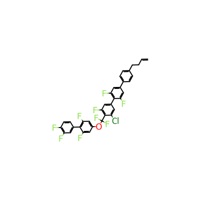 C=CCCc1ccc(-c2cc(F)c(-c3cc(F)c(C(F)(F)Oc4cc(F)c(-c5ccc(F)c(F)c5)c(F)c4)c(Cl)c3)c(F)c2)cc1